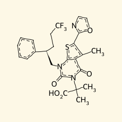 Cc1c(-c2ncco2)sc2c1c(=O)n(C(C)(C)C(=O)O)c(=O)n2C[C@H](CCC(F)(F)F)c1ccccc1